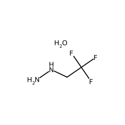 NNCC(F)(F)F.O